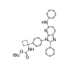 CC(C)(C)OC(=O)NC1(c2ccc(-n3c(-c4ccccc4)nc4ccc(Nc5ccccc5)nc43)cc2)CCC1